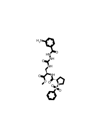 COC(=O)[C@@H](CNC(=O)NNC(=O)c1cccc(N)c1)NC(=O)[C@@H]1CCCN1S(=O)(=O)c1ccccc1